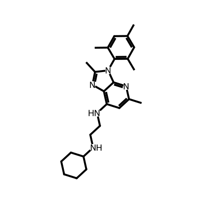 Cc1cc(C)c(-n2c(C)nc3c(NCCNC4CCCCC4)cc(C)nc32)c(C)c1